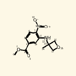 COC(=O)c1ccc([N+](=O)[O-])c(NC2(C)COC2)c1